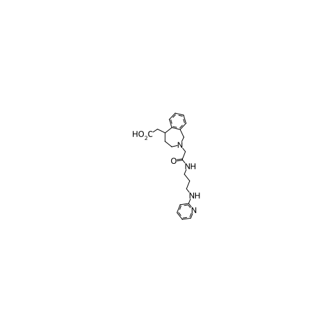 O=C(O)CC1CCN(CC(=O)NCCCNc2ccccn2)Cc2ccccc21